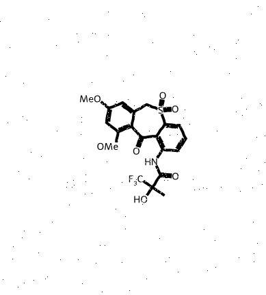 COc1cc2c(c(OC)c1)C(=O)c1c(NC(=O)C(C)(O)C(F)(F)F)cccc1S(=O)(=O)C2